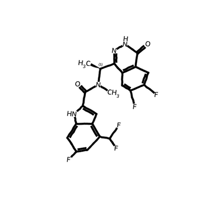 C[C@@H](c1n[nH]c(=O)c2cc(F)c(F)cc12)N(C)C(=O)c1cc2c(C(F)F)cc(F)cc2[nH]1